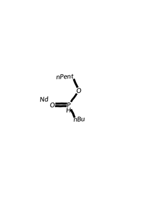 CCCCCO[PH](=O)CCCC.[Nd]